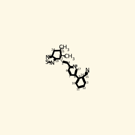 C[C@H]1[C@H](/C=C/c2ccc(-c3ccccc3C#N)cn2)c2nsnc2C[C@@H]1C